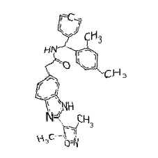 Cc1ccc(C(NC(=O)Cc2ccc3nc(-c4c(C)noc4C)[nH]c3c2)c2ccccc2)c(C)c1